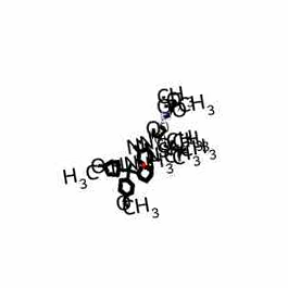 COc1ccc(C(Nc2ncnc3c2ncn3[C@@H]2O[C@H](/C=C/P(=O)(OC)OC)C[C@H]2O[Si](C)(C)C(C)(C)C)(c2ccccc2)c2ccc(OC)cc2)cc1